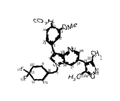 COc1cc(-c2cn(CC3CCC(F)(F)CC3)c3cc(-c4c(C)noc4C)cnc23)ccc1C(=O)O